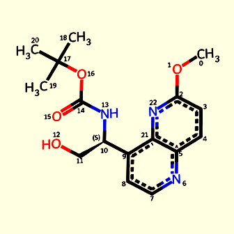 COc1ccc2nccc([C@@H](CO)NC(=O)OC(C)(C)C)c2n1